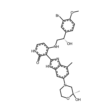 COc1ccc([C@H](O)CNc2cc[nH]c(=O)c2-c2nc3c(C)cc(N4CCO[C@](C)(O)C4)cc3[nH]2)cc1Br